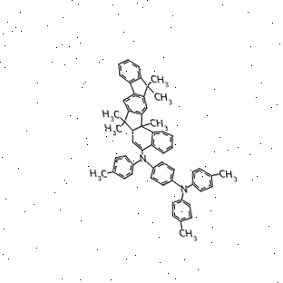 Cc1ccc(N(C2=CC3C(C)(C)c4cc5c(cc4C3(C)c3ccccc32)C(C)(C)c2ccccc2-5)c2ccc(N(c3ccc(C)cc3)c3ccc(C)cc3)cc2)cc1